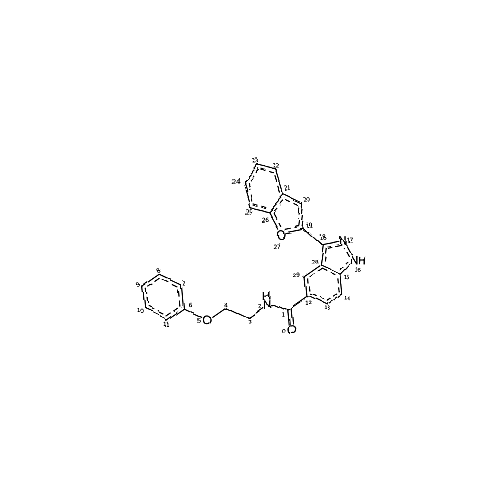 O=C(NCCOc1ccccc1)c1ccc2[nH]nc(-c3cc4ccccc4o3)c2c1